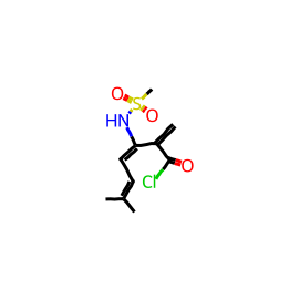 C=C(C(=O)Cl)/C(=C\C=C(C)C)NS(C)(=O)=O